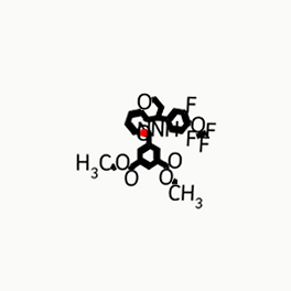 CCOC(=O)c1cc(C(=O)NC2(c3ccc(OC(F)(F)F)c(F)c3)CCOc3cccnc32)cc(C(=O)OCC)c1